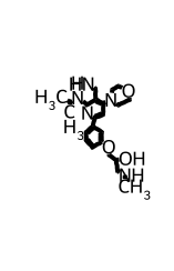 CNCC(O)COc1cccc(-c2cc(N3CCOCC3)c(C=N)c(NC(C)C)n2)c1